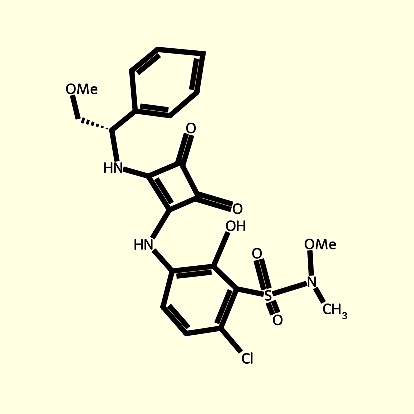 COC[C@@H](Nc1c(Nc2ccc(Cl)c(S(=O)(=O)N(C)OC)c2O)c(=O)c1=O)c1ccccc1